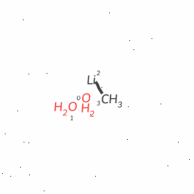 O.O.[Li][CH3]